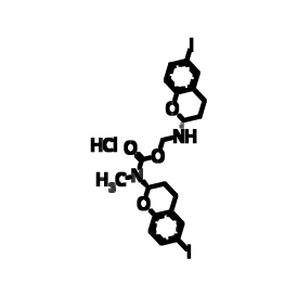 CN(C(=O)OCN[C@H]1CCc2cc(I)ccc2O1)[C@H]1CCc2cc(I)ccc2O1.Cl